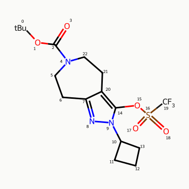 CC(C)(C)OC(=O)N1CCc2nn(C3CCC3)c(OS(=O)(=O)C(F)(F)F)c2CC1